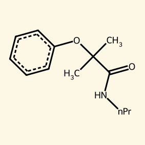 CCCNC(=O)C(C)(C)Oc1ccccc1